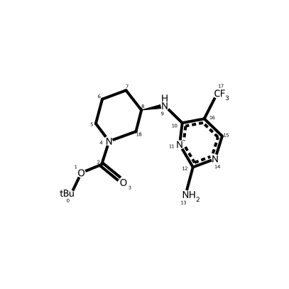 CC(C)(C)OC(=O)N1CCC[C@@H](Nc2nc(N)ncc2C(F)(F)F)C1